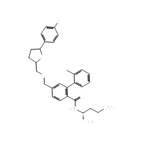 CSCC[C@H](NC(=O)c1ccc(COCC2CCC(c3ccc(Cl)cc3)O2)cc1-c1ccccc1C)C(=O)O